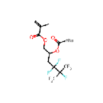 C=C(C)C(=O)OCC(CC(F)(F)C(F)(C(F)(F)F)C(F)(F)F)OC(=O)C(C)(C)C